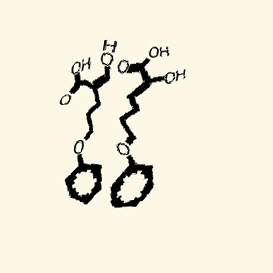 O=C(O)C(=CO)CCCOc1ccccc1.O=C(O)C(O)=CCCCOc1ccccc1